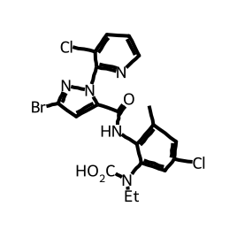 CCN(C(=O)O)c1cc(Cl)cc(C)c1NC(=O)c1cc(Br)nn1-c1ncccc1Cl